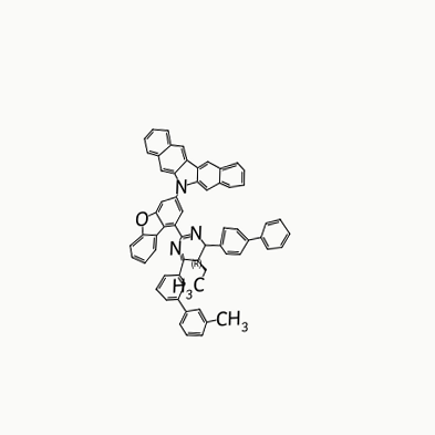 CC[C@H]1C(c2cccc(-c3cccc(C)c3)c2)=NC(c2cc(-n3c4cc5ccccc5cc4c4cc5ccccc5cc43)cc3oc4ccccc4c23)=NC1c1ccc(-c2ccccc2)cc1